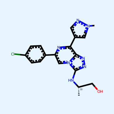 C[C@@H](CO)Nc1nnc2c(-c3cnn(C)c3)nc(-c3ccc(Cl)cc3)cn12